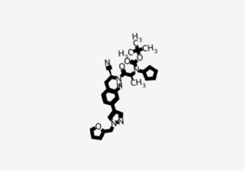 C[C@@H](C(=O)N[C@H](C#N)Cc1ccc(-c2cnn(CC3CCCO3)c2)cc1F)N(C(=O)OC(C)(C)C)C1CCCC1